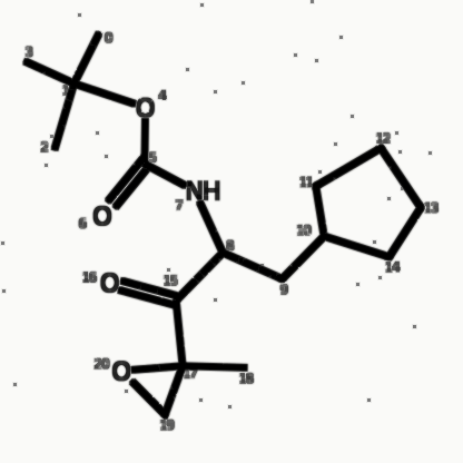 CC(C)(C)OC(=O)NC(CC1CCCC1)C(=O)C1(C)CO1